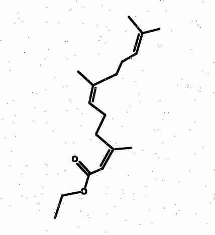 CCOC(=O)C=C(C)CCC=C(C)CCC=C(C)C